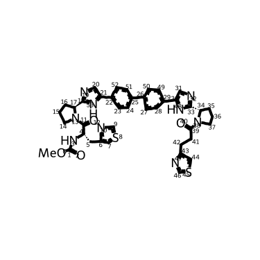 COC(=O)N[C@@H](Cc1cscn1)C(=O)N1CCC[C@H]1c1ncc(-c2ccc(-c3ccc(-c4cnc([C@@H]5CCCN5C(=O)CCc5cscn5)[nH]4)cc3)cc2)[nH]1